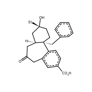 CC[C@@]1(O)CC[C@@]2(Cc3ccccc3)c3ccc(C(=O)O)cc3CC(=O)C[C@H]2C1